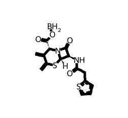 BOC(=O)[C@H]1C(=C)C(=C)S[C@@H]2[C@H](NC(=O)Cc3cccs3)C(=O)N12